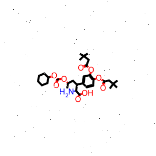 CC(CC(c1ccc(OC(=O)CC(C)(C)C)c(OC(=O)CC(C)(C)C)c1)[C@H](N)C(=O)O)OC(=O)OC1CCCCC1